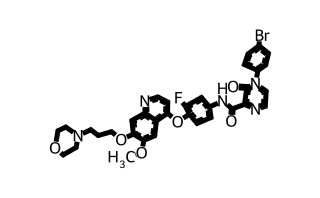 COc1cc2c(Oc3ccc(NC(=O)c4nccn(-c5ccc(Br)cc5)c4=O)cc3F)ccnc2cc1OCCCN1CCOCC1